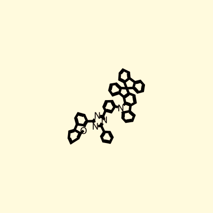 c1ccc(-c2nc(-c3cccc(-n4c5ccccc5c5ccc6c(c54)-c4ccccc4C64c5ccccc5-c5ccccc54)c3)nc(-c3cccc4c3oc3ccccc34)n2)cc1